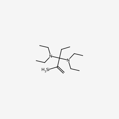 C=C([SiH3])C(CC)(N(CC)CC)N(CC)CC